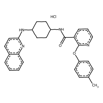 Cc1ccc(Oc2ncccc2C(=O)NC2CCC(Nc3ccc4ccccc4n3)CC2)cc1.Cl